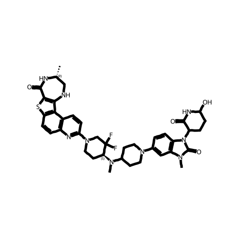 C[C@@H]1CNc2c(sc3ccc4nc(N5CC[C@H](N(C)C6CCN(c7ccc8c(c7)n(C)c(=O)n8C7CCC(O)NC7=O)CC6)C(F)(F)C5)ccc4c23)C(=O)N1